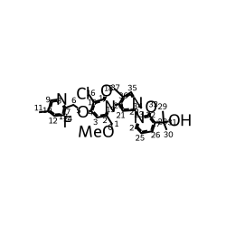 COCc1cc(OCc2ncc(C)cc2F)c(Cl)c(=O)n1-c1cc(-n2cccc(C(C)(C)O)c2=O)ncc1C